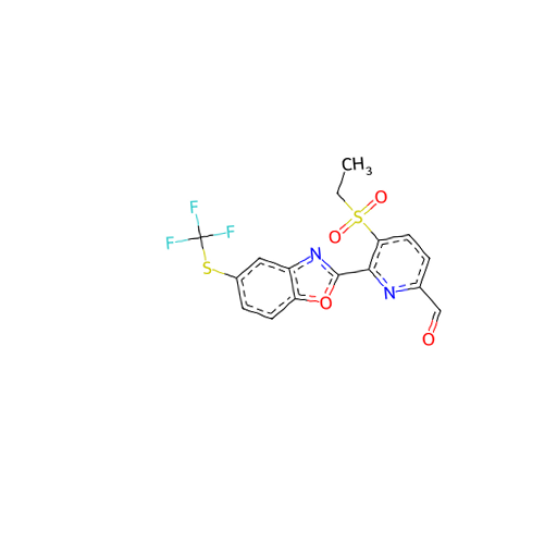 CCS(=O)(=O)c1ccc(C=O)nc1-c1nc2cc(SC(F)(F)F)ccc2o1